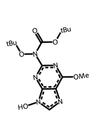 COc1nc(N(OC(C)(C)C)C(=O)OC(C)(C)C)nc2c1ncn2O